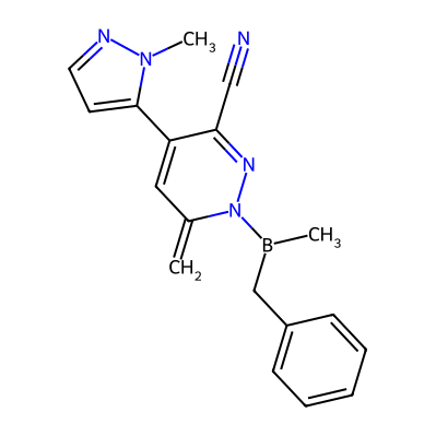 C=C1C=C(c2ccnn2C)C(C#N)=NN1B(C)Cc1ccccc1